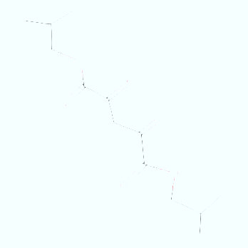 CC(C)COC(=O)C(=O)CC(=O)C(=O)OCC(C)C